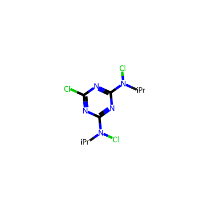 CC(C)N(Cl)c1nc(Cl)nc(N(Cl)C(C)C)n1